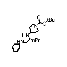 CCC[C@H](CNc1ccccc1)NC1CCN(C(=O)OC(C)(C)C)CC1